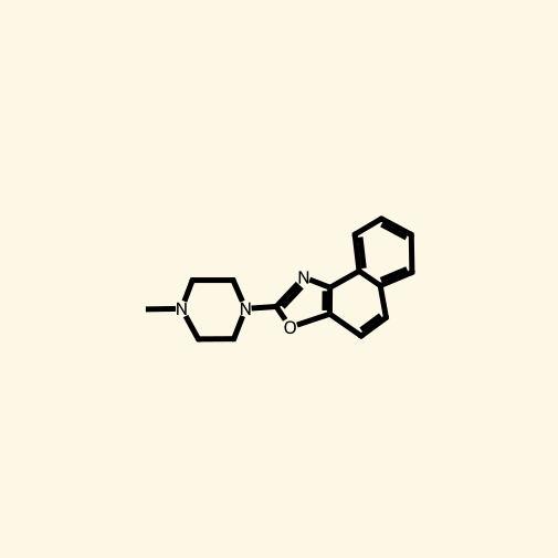 CN1CCN(c2nc3c(ccc4ccccc43)o2)CC1